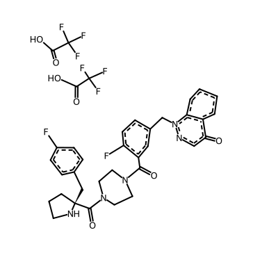 O=C(O)C(F)(F)F.O=C(O)C(F)(F)F.O=C(c1cc(Cn2ncc(=O)c3ccccc32)ccc1F)N1CCN(C(=O)[C@@]2(Cc3ccc(F)cc3)CCCN2)CC1